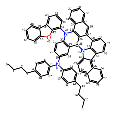 CCCCc1ccc(N(c2ccc(CCCC)cc2)c2ccc3c(c2)B2c4c(cc5ccccc5c4N3c3cccc4c3oc3ccccc34)-c3cccc4c5c6ccccc6ccc5n2c34)cc1